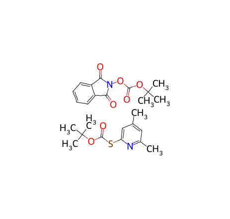 CC(C)(C)OC(=O)ON1C(=O)c2ccccc2C1=O.Cc1cc(C)nc(SC(=O)OC(C)(C)C)c1